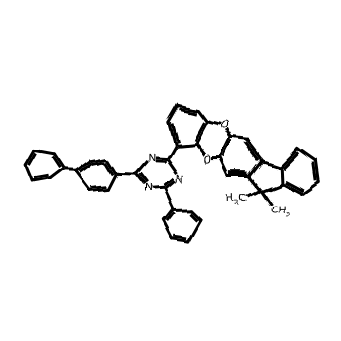 CC1(C)c2ccccc2-c2cc3c(cc21)Oc1c(cccc1-c1nc(C2=C=C=C(c4ccccc4)C=C2)nc(-c2ccccc2)n1)O3